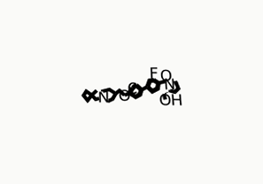 CC1(CN2CCC(COc3ccc(-c4ccc(C(=O)N5CCC[C@@H]5CO)c(F)c4)cc3)CC2)CCC1